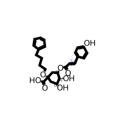 O=C(/C=C/c1ccc(O)cc1)O[C@@H]1C[C@](OCCCCc2ccccc2)(C(=O)O)C[C@H](O)[C@H]1O